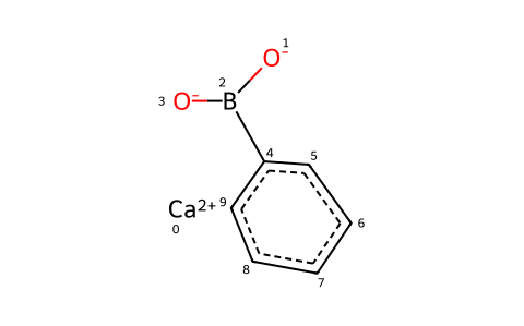 [Ca+2].[O-]B([O-])c1ccccc1